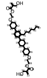 C=C(CO)C(=O)OCCOC1CCC(c2ccc(C3CCC(C4CCC(OCCOC(=O)C(=C)CO)CC4)CC3)c(CCCCCCC)c2)CC1